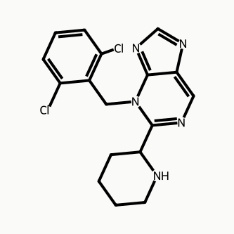 Clc1cccc(Cl)c1Cn1c2ncnc-2cnc1C1CCCCN1